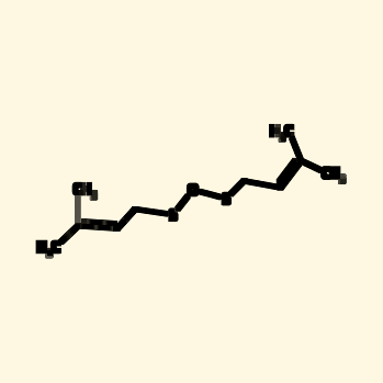 CC(C)=CCSOSCC=C(C)C